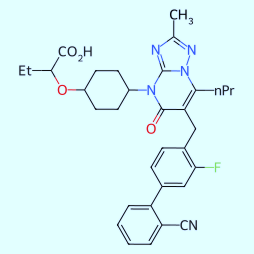 CCCc1c(Cc2ccc(-c3ccccc3C#N)cc2F)c(=O)n(C2CCC(OC(CC)C(=O)O)CC2)c2nc(C)nn12